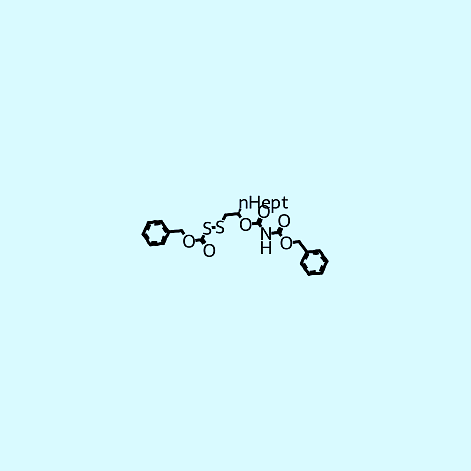 CCCCCCC[C@H](CSSC(=O)OCc1ccccc1)OC(=O)NC(=O)OCc1ccccc1